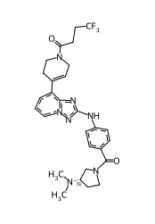 CN(C)[C@H]1CCN(C(=O)c2ccc(Nc3nc4c(C5=CCN(C(=O)CCC(F)(F)F)CC5)cccn4n3)cc2)C1